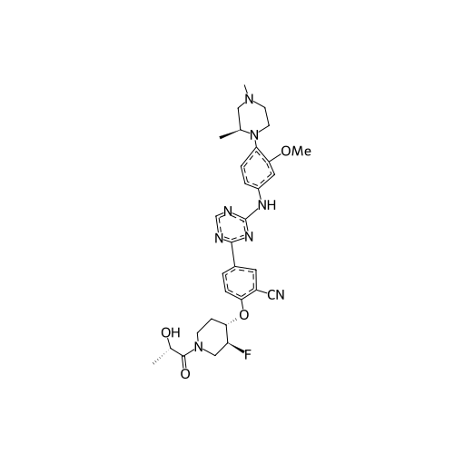 COc1cc(Nc2ncnc(-c3ccc(O[C@H]4CCN(C(=O)[C@H](C)O)C[C@@H]4F)c(C#N)c3)n2)ccc1N1CCN(C)C[C@@H]1C